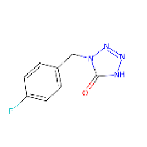 O=c1[nH]nnn1Cc1ccc(F)cc1